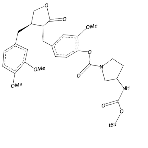 COc1ccc(C[C@H]2COC(=O)[C@@H]2Cc2ccc(OC(=O)N3CCC(NC(=O)OC(C)(C)C)C3)c(OC)c2)cc1OC